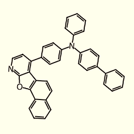 c1ccc(-c2ccc(N(c3ccccc3)c3ccc(-c4ccnc5oc6c7ccccc7ccc6c45)cc3)cc2)cc1